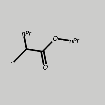 [CH2]C(CCC)C(=O)OCCC